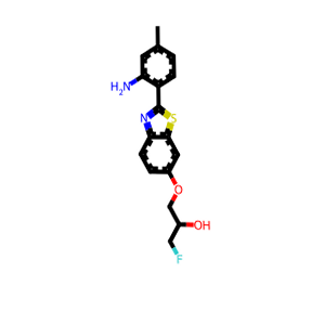 Cc1ccc(-c2nc3ccc(OCC(O)CF)cc3s2)c(N)c1